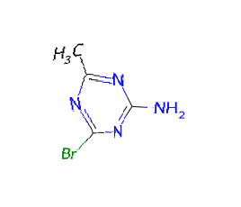 Cc1nc(N)nc(Br)n1